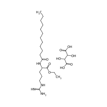 CCCCCCCCCCCC(=O)NC(CCCNC(=N)N)C(=O)OCC.O=C(O)C(O)C(O)C(=O)O